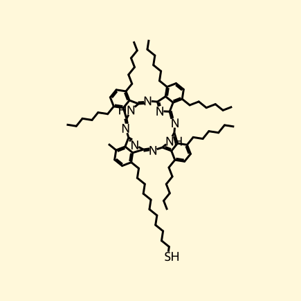 CCCCCCc1ccc(CCCCCC)c2c1-c1nc-2nc2[nH]c(nc3nc(nc4[nH]c(n1)c1c(CCCCCC)ccc(CCCCCC)c41)-c1c(C)ccc(CCCCCCCCCCCS)c1-3)c1c(CCCCCC)ccc(CCCCCC)c21